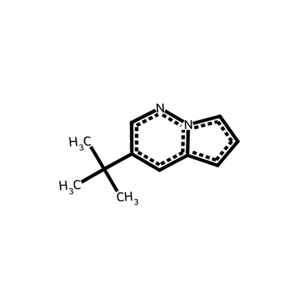 CC(C)(C)c1cnn2cccc2c1